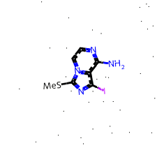 CSc1nc(I)c2c(N)nccn12